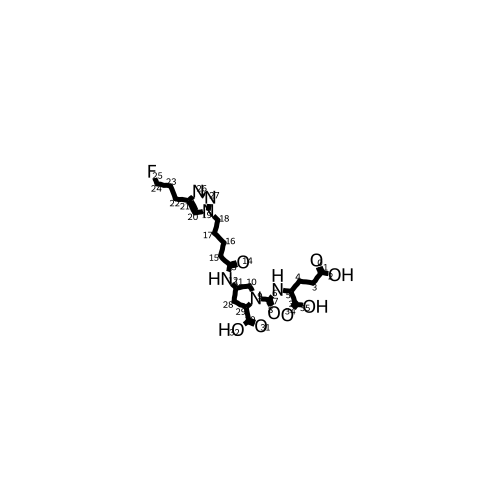 O=C(O)CCC(NC(=O)N1CC(NC(=O)CCCCn2cc(CCCF)nn2)CC1C(=O)O)C(=O)O